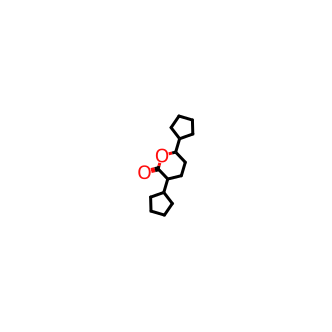 O=C1OC(C2CCCC2)CCC1C1CCCC1